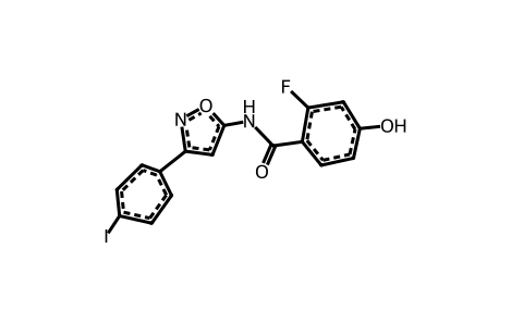 O=C(Nc1cc(-c2ccc(I)cc2)no1)c1ccc(O)cc1F